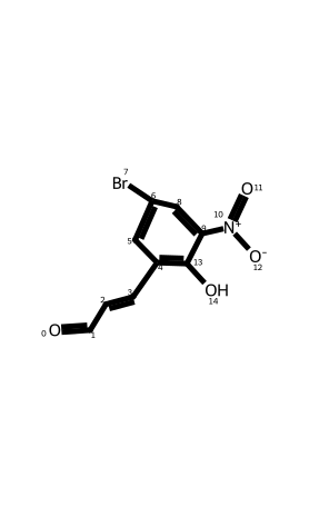 O=CC=Cc1cc(Br)cc([N+](=O)[O-])c1O